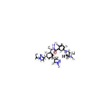 CCn1ccc(-c2cc(-c3cnn(C)c3)cc([C@@H](C)NC(=O)c3cc(N4C[C@@H]5C[C@H]4CN5C)ccc3C)c2)n1